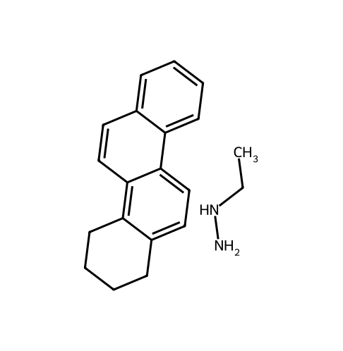 CCNN.c1ccc2c(c1)ccc1c3c(ccc12)CCCC3